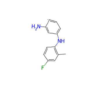 Cc1cc(F)ccc1Nc1cc[c]c(N)c1